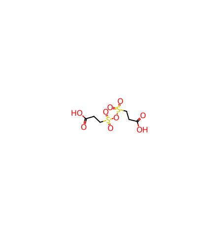 O=C(O)CCS(=O)(=O)OS(=O)(=O)CCC(=O)O